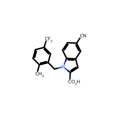 Cc1ccc(C(F)(F)F)cc1Cn1c(C(=O)O)cc2cc(C#N)ccc21